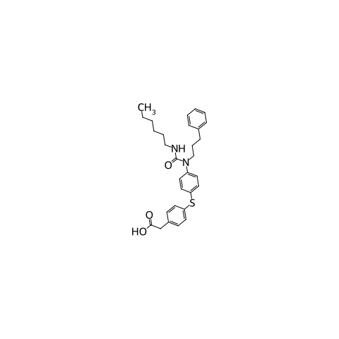 CCCCCCNC(=O)N(CCCc1ccccc1)c1ccc(Sc2ccc(CC(=O)O)cc2)cc1